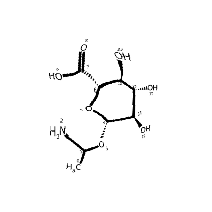 CC(N)O[C@@H]1O[C@H](C(=O)O)[C@@H](O)[C@H](O)[C@H]1O